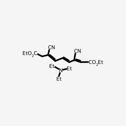 CCN(CC)CC.CCOC(=O)/C=C(C#N)/C=C/C=C(\C#N)CC(=O)OCC